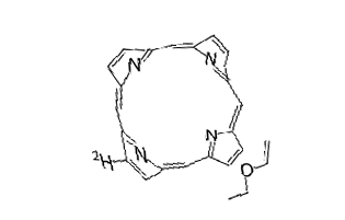 C=COCC.[2H]C1=CC2=CC3=NC(=CC4=NC(=CC5=NC(=CC1=N2)C=C5)C=C4)C=C3